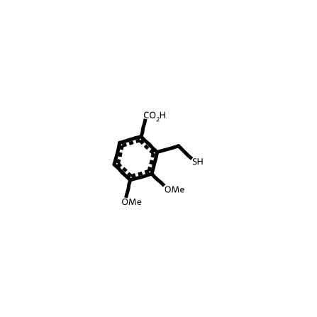 COc1ccc(C(=O)O)c(CS)c1OC